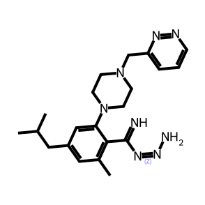 Cc1cc(CC(C)C)cc(N2CCN(Cc3cccnn3)CC2)c1C(=N)/N=N\N